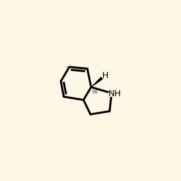 [C]1=C[C@@H]2NCCC2C=C1